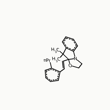 CCCc1ccccc1C=CC12OCCN1c1ccccc1C2(C)C